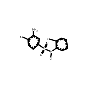 Nc1cc(S(=O)(=O)N(Cl)c2ccccc2Cl)ccc1Cl